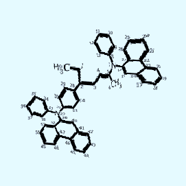 CC/C(=C\C=C(/C)N(c1ccccc1)c1cc2ccccc2c2ccccc12)c1ccc(N(c2ccccc2)c2cc3ccccc3c3ccccc23)cc1